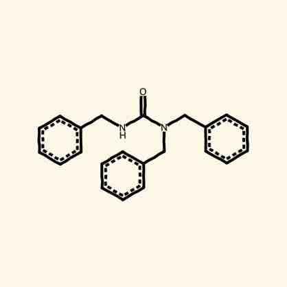 O=C(NCc1ccccc1)N(Cc1ccccc1)Cc1ccccc1